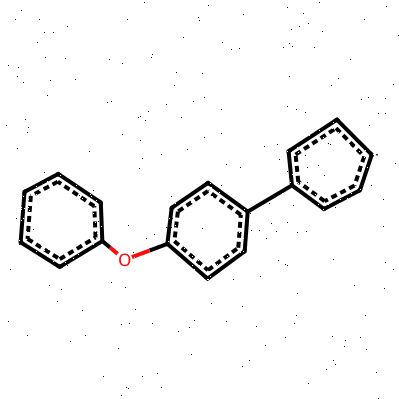 [c]1ccc(-c2ccc(Oc3ccccc3)cc2)cc1